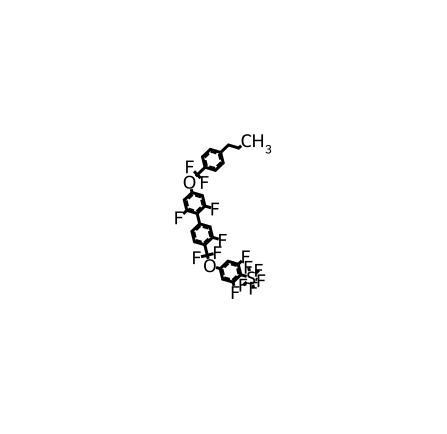 CCCc1ccc(C(F)(F)Oc2cc(F)c(-c3ccc(C(F)(F)Oc4cc(F)c(S(F)(F)(F)(F)F)c(F)c4)c(F)c3)c(F)c2)cc1